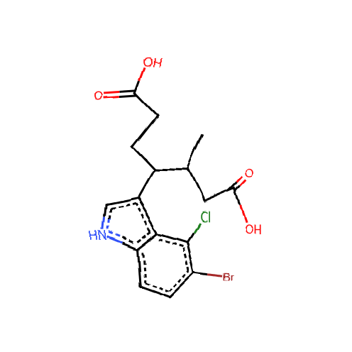 CC(CC(=O)O)C(CCC(=O)O)c1c[nH]c2ccc(Br)c(Cl)c12